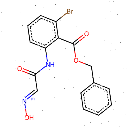 O=C(/C=N/O)Nc1cccc(Br)c1C(=O)OCc1ccccc1